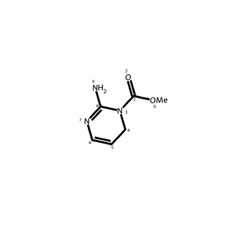 COC(=O)N1CC=CN=C1N